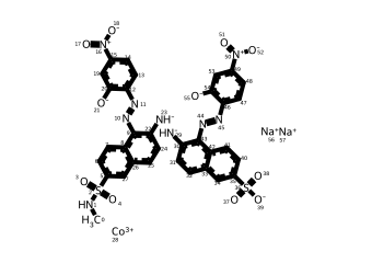 CNS(=O)(=O)c1ccc2c(N=Nc3ccc([N+](=O)[O-])cc3[O-])c([NH-])ccc2c1.[Co+3].[NH-]c1ccc2cc(S(=O)(=O)[O-])ccc2c1N=Nc1ccc([N+](=O)[O-])cc1[O-].[Na+].[Na+]